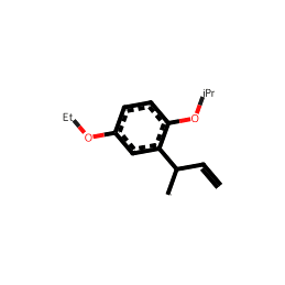 [CH2]C(C=C)c1cc(OCC)ccc1OC(C)C